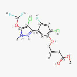 COC(=O)C=C(C)COc1cc(-c2nn(C)c(OC(F)F)c2Cl)c(F)cc1Cl